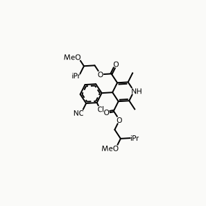 COC(COC(=O)C1=C(C)NC(C)=C(C(=O)OCC(OC)C(C)C)C1c1cccc(C#N)c1Cl)C(C)C